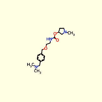 CN(C)Cc1ccc(COCCNC(=O)OC2CCN(C)C2)cc1